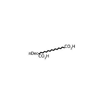 CCCCCCCCCCC(CCCCCCCCCCCCCCC(=O)O)C(=O)O